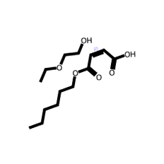 CCCCCCOC(=O)/C=C\C(=O)O.CCOCCO